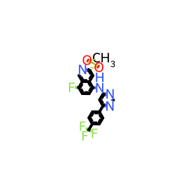 CS(=O)(=O)c1cc2c(Nc3cc(-c4ccc(C(F)(F)F)cc4)ncn3)ccc(F)c2cn1